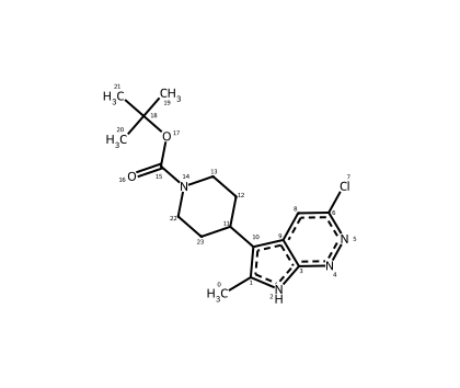 Cc1[nH]c2nnc(Cl)cc2c1C1CCN(C(=O)OC(C)(C)C)CC1